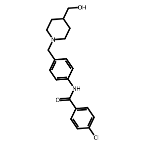 O=C(Nc1ccc(CN2CCC(CO)CC2)cc1)c1ccc(Cl)cc1